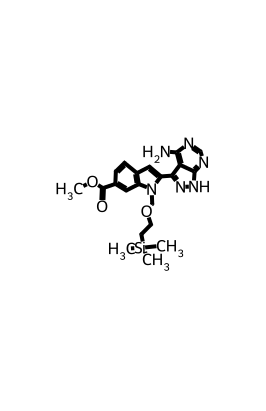 COC(=O)c1ccc2cc(-c3n[nH]c4ncnc(N)c34)n(COCC[Si](C)(C)C)c2c1